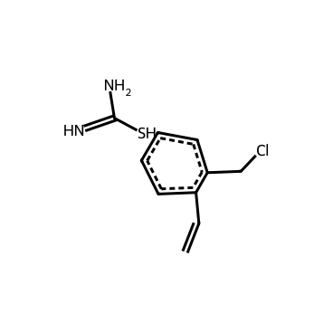 C=Cc1ccccc1CCl.N=C(N)S